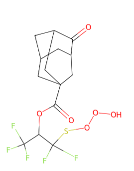 O=C1C2CC3CC1CC(C(=O)OC(C(F)(F)F)C(F)(F)SOOO)(C3)C2